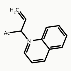 C=CC(C(C)=O)[n+]1cccc2ccccc21